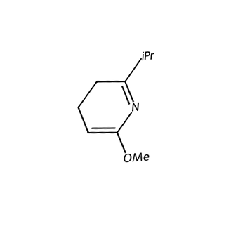 COC1=CCCC(C(C)C)=N1